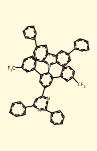 FC(F)(F)c1cccc(-c2cc(-c3cc(-c4ccccc4)nc(-c4ccccc4)n3)cc(-c3cccc(C(F)(F)F)c3)c2-n2c3ccc(-c4ccccc4)cc3c3cc(-c4ccccc4)ccc32)c1